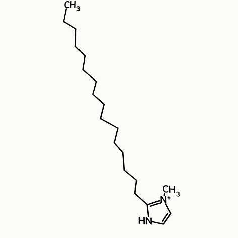 CCCCCCCCCCCCCCCCc1[nH]cc[n+]1C